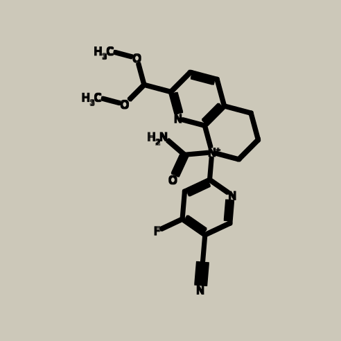 COC(OC)c1ccc2c(n1)[N+](C(N)=O)(c1cc(F)c(C#N)cn1)CCC2